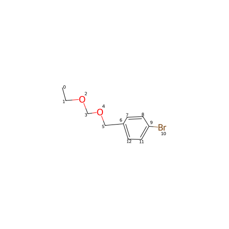 CCOCOCc1ccc(Br)cc1